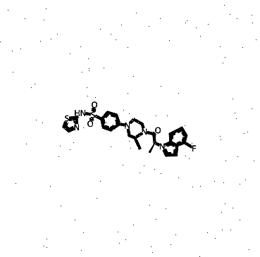 CC1CN(c2ccc(S(=O)(=O)Nc3nccs3)cc2)CCN1C(=O)[C@H](C)n1ccc2c(F)cccc21